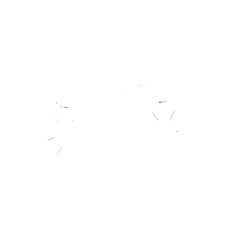 Cn1c(SCCCN2CCC3(CC3c3ccc(C(F)(F)F)cc3)C2)nnc1-c1ccsc1